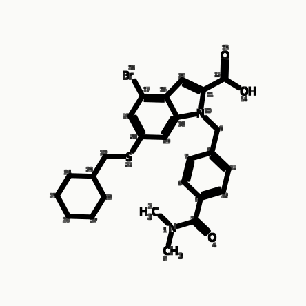 CN(C)C(=O)c1ccc(Cn2c(C(=O)O)cc3c(Br)cc(SCC4CCCCC4)cc32)cc1